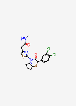 CNC(=O)Cc1csc(NC(=O)C(SC2CCCC2)c2ccc(Cl)c(Cl)c2)n1